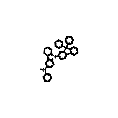 CN(c1ccccc1)c1ccc2c(c1)c1c(n2-c2ccc3c(c2)C(c2ccccc2)(c2ccccc2)c2ccccc2-3)C=CCC1